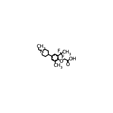 CCN1CCC(c2cc(C)c(OCC(=O)O)c(C(C)(F)F)c2)CC1